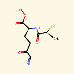 CC(C)OC(=O)[C@H](CCC(=O)C=N)NC(=O)[C@H](C)S